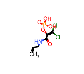 C=CCNC(=O)C(OP(=O)(O)O)=C(Cl)Cl